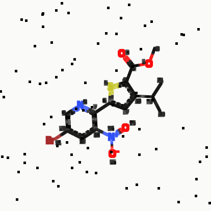 COC(=O)c1sc(-c2ncc(Br)cc2[N+](=O)[O-])cc1C(C)C